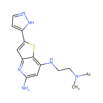 CC(=O)N(C)CCNc1cc(N)nc2cc(-c3ccn[nH]3)sc12